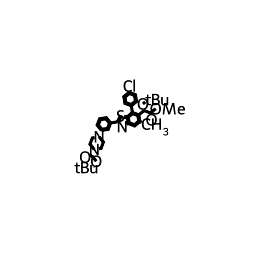 COC(=O)C(OC(C)(C)C)c1c(C)cc2nc(-c3cccc(N4CCN(C(=O)OC(C)(C)C)CC4)c3)sc2c1-c1ccc(Cl)cc1